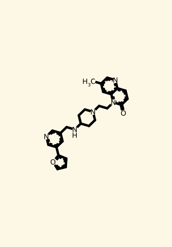 Cc1cnc2ccc(=O)n(CCN3CCC(NCc4cncc(-c5ccco5)c4)CC3)c2c1